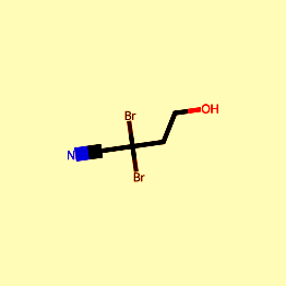 N#CC(Br)(Br)CCO